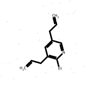 C=CCc1cnc(CC)c(CC=C)c1